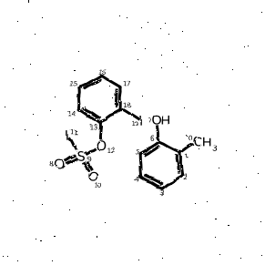 Cc1ccccc1O.O=S(=O)(I)Oc1ccccc1I